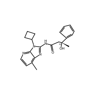 Cc1ccnc2c1nc(NC(=O)C[C@@](C)(O)c1ccccc1)n2C1CCC1